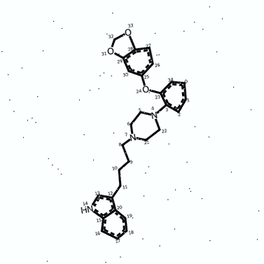 c1ccc(N2CCN(CCCCc3c[nH]c4ccccc34)CC2)c(Oc2ccc3c(c2)OCO3)c1